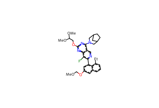 CCc1cccc2cc(OCOC)cc(-c3ncc4c(N5CC6CCC(C6)C5)nc(OCC(OC)OC)nc4c3F)c12